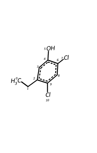 CCc1cc(O)c(Cl)cc1Cl